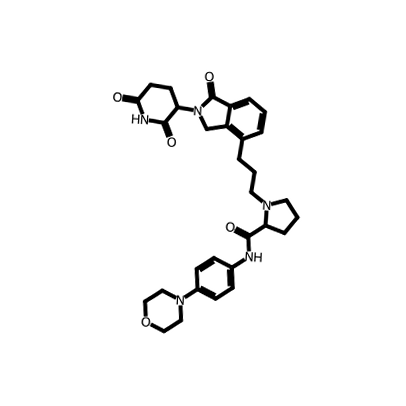 O=C1CCC(N2Cc3c(CCCN4CCCC4C(=O)Nc4ccc(N5CCOCC5)cc4)cccc3C2=O)C(=O)N1